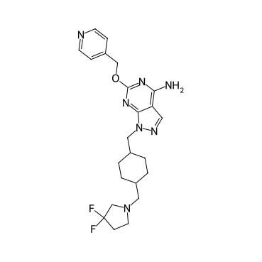 Nc1nc(OCc2ccncc2)nc2c1cnn2CC1CCC(CN2CCC(F)(F)C2)CC1